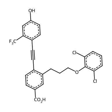 O=C(O)c1ccc(C#Cc2ccc(O)cc2C(F)(F)F)c(CCCOc2c(Cl)cccc2Cl)c1